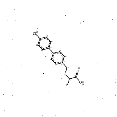 CC(OCc1ccc(-c2ccc(Cl)cc2)cc1)C(=O)O